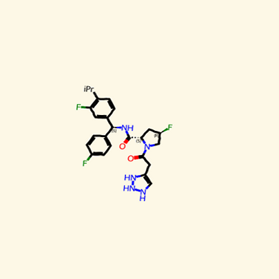 CC(C)c1ccc([C@@H](NC(=O)[C@@H]2C[C@@H](F)CN2C(=O)CC2=CNNN2)c2ccc(F)cc2)cc1F